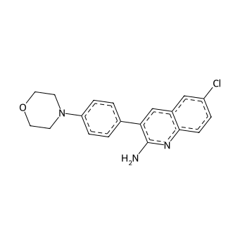 Nc1nc2ccc(Cl)cc2cc1-c1ccc(N2CCOCC2)cc1